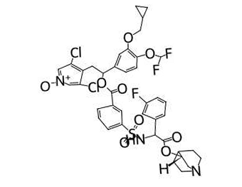 O=C(OC(Cc1c(Cl)c[n+]([O-])cc1Cl)c1ccc(OC(F)F)c(OCC2CC2)c1)c1cccc(S(=O)(=O)NC(C(=O)O[C@H]2CN3CCC2CC3)c2cccc(F)c2)c1